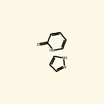 O=c1cccc[nH]1.c1cn[nH]c1